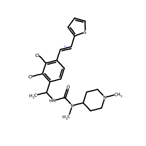 CC(NC(=O)N(C)C1CCN(C)CC1)c1ccc(/C=C/c2cccs2)c(Cl)c1Cl